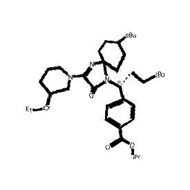 CCOC1CCCN(C2=NC3(CCC(C(C)(C)C)CC3)N([C@H](CCC(C)(C)C)c3ccc(C(=O)OC(C)C)cc3)C2=O)C1